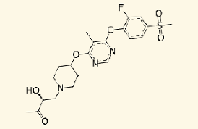 CC(=O)[C@@H](O)CN1CCC(Oc2ncnc(Oc3ccc(S(C)(=O)=O)cc3F)c2C)CC1